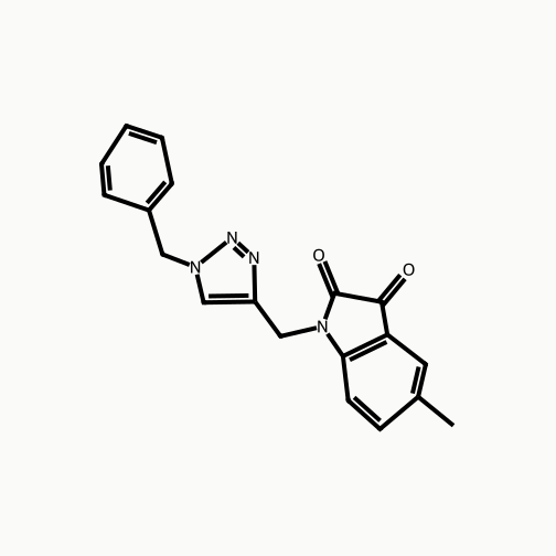 Cc1ccc2c(c1)C(=O)C(=O)N2Cc1cn(Cc2ccccc2)nn1